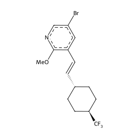 COc1ncc(Br)cc1/C=C/[C@H]1CC[C@H](C(F)(F)F)CC1